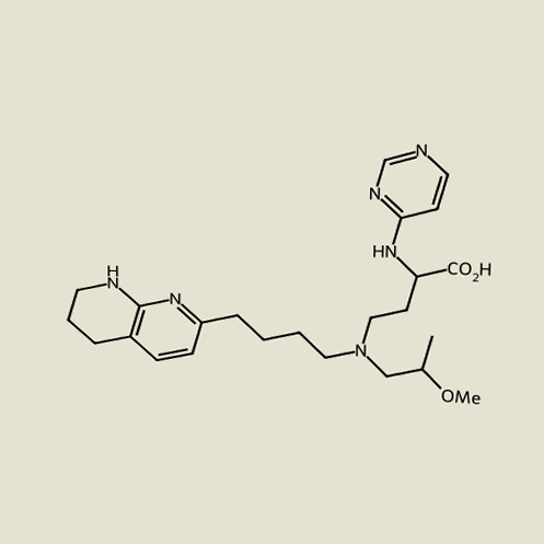 COC(C)CN(CCCCc1ccc2c(n1)NCCC2)CCC(Nc1ccncn1)C(=O)O